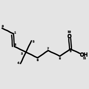 CC=CC(C)(C)CCCC(=O)O